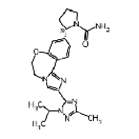 Cc1nc(-c2cn3c(n2)-c2ccc([C@@H]4CCCN4C(N)=O)cc2OCC3)n(C(C)C)n1